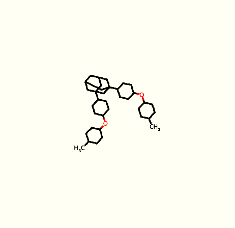 CC1CCC(OC2CCC(C34CC5CC(C3)CC(C3CCC(OC6CCC(C)CC6)CC3)(C5)C4)CC2)CC1